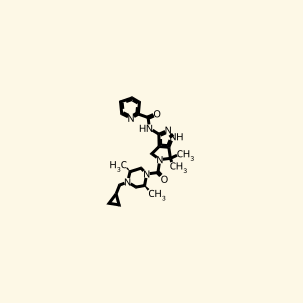 C[C@@H]1CN(C(=O)N2Cc3c(NC(=O)c4ccccn4)n[nH]c3C2(C)C)[C@@H](C)CN1CC1CC1